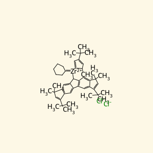 CC1C=C(C(C)(C)C)C=[C]1[Zr+2](=[C]1CCCCC1)[CH]1c2cc3c(cc2-c2cc4c(cc21)C(C)(C)C=C4C(C)(C)C)C(C(C)(C)C)=CC3(C)C.[Cl-].[Cl-]